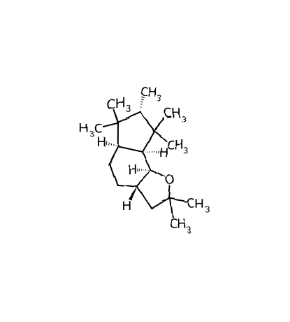 C[C@@H]1C(C)(C)[C@H]2[C@H]3OC(C)(C)C[C@@H]3CC[C@H]2C1(C)C